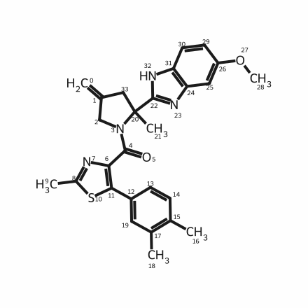 C=C1CN(C(=O)c2nc(C)sc2-c2ccc(C)c(C)c2)C(C)(c2nc3cc(OC)ccc3[nH]2)C1